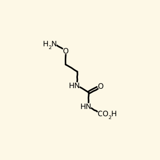 NOCCNC(=O)NC(=O)O